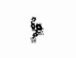 CC(C)OC(=O)c1ccc2c(c1)NC(=O)C2=C(Nc1ccc(CN2CCCCC2)cc1)c1ccccc1